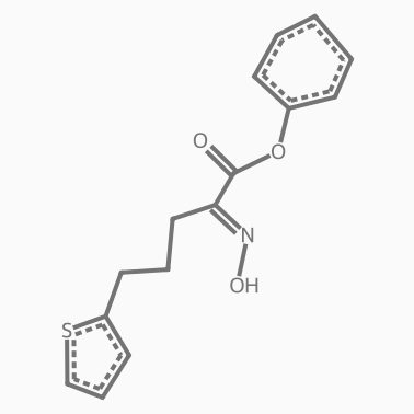 O=C(Oc1ccccc1)C(CCCc1cccs1)=NO